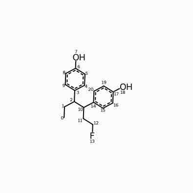 CCC(c1ccc(O)cc1)C(CCF)c1ccc(O)cc1